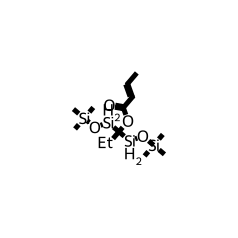 [CH2]CC(OC(=O)C=CC)([SiH2]O[Si](C)(C)C)[SiH2]O[Si](C)(C)C